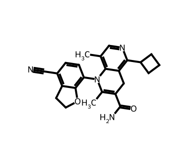 CC1=C(C(N)=O)Cc2c(C3CCC3)ncc(C)c2N1c1ccc(C#N)c2c1OCC2